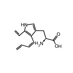 C=C/C=C\c1c(C[C@H](N)C(=O)O)c[nH]c1C=C